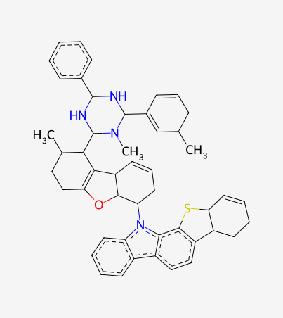 CC1C=C(C2NC(c3ccccc3)NC(C3C4=C(CCC3C)OC3C4C=CCC3n3c4ccccc4c4ccc5c(c43)SC3C=CCCC53)N2C)C=CC1